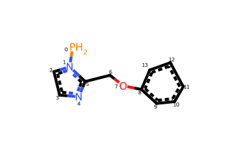 Pn1ccnc1COc1ccccc1